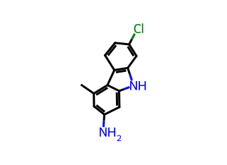 Cc1cc(N)cc2[nH]c3cc(Cl)ccc3c12